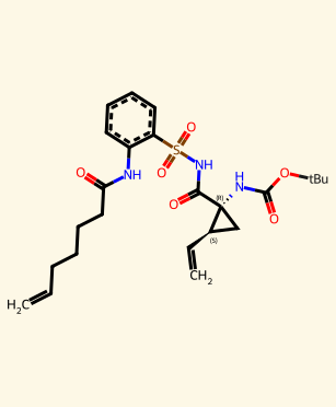 C=CCCCCC(=O)Nc1ccccc1S(=O)(=O)NC(=O)[C@@]1(NC(=O)OC(C)(C)C)C[C@H]1C=C